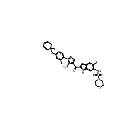 Cc1cc(OC2(F)C=CC=CC2)ncc1-n1ncc(C(=O)c2cc3cc(F)c(NS(=O)(=O)N4CCOCC4)cc3[nH]2)c1N